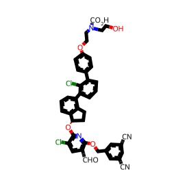 N#Cc1cc(C#N)cc(COc2nc(O[C@H]3CCc4c(-c5cccc(-c6ccc(OCCN(CCO)C(=O)O)cc6)c5Cl)cccc43)c(Cl)cc2C=O)c1